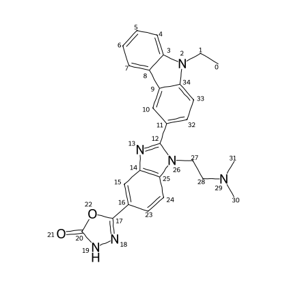 CCn1c2ccccc2c2cc(-c3nc4cc(-c5n[nH]c(=O)o5)ccc4n3CCN(C)C)ccc21